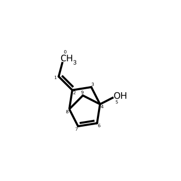 CC=C1CC2(O)C=CC1C2